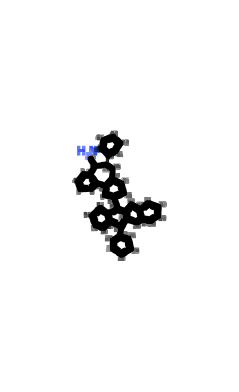 CC1c2ccccc2-c2cc(-c3c4ccccc4c(-c4ccccc4)c4cc5ccccc5cc34)ccc2C[C@H]1c1ccccc1N